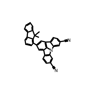 CC1(C)c2ccccc2-c2cccc(-c3cc4c5ccc(C#N)cc5n5c6cc(C#N)ccc6c(c3)c45)c21